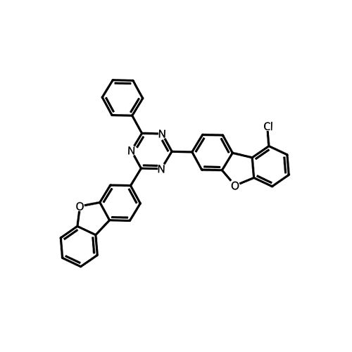 Clc1cccc2oc3cc(-c4nc(-c5ccccc5)nc(-c5ccc6c(c5)oc5ccccc56)n4)ccc3c12